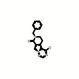 O=C1c2cn3ncnc(Cl)c3c2CCN1Cc1ccccc1